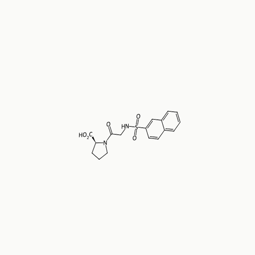 O=C(O)[C@@H]1CCCN1C(=O)CNS(=O)(=O)c1ccc2ccccc2c1